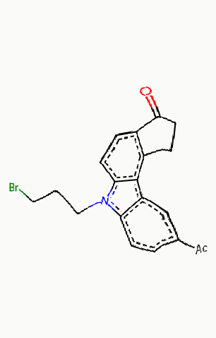 CC(=O)c1ccc2c(c1)c1c3c(ccc1n2CCCBr)C(=O)CC3